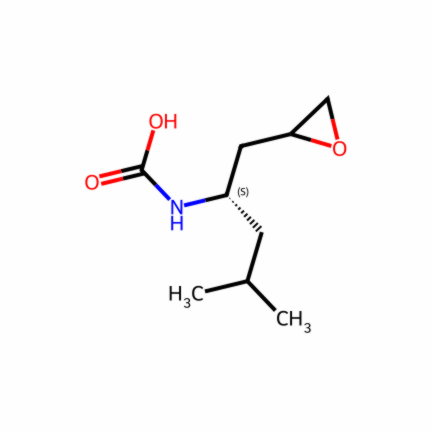 CC(C)C[C@@H](CC1CO1)NC(=O)O